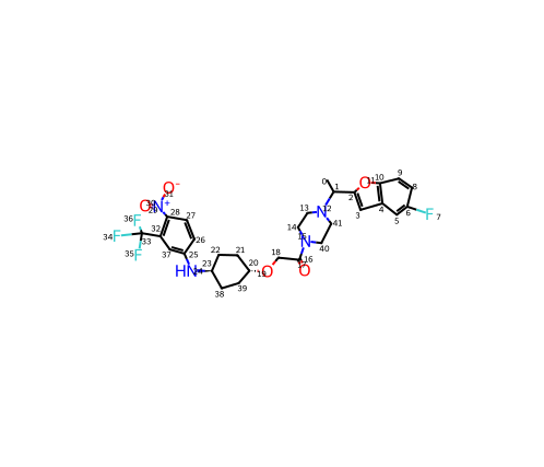 CC(c1cc2cc(F)ccc2o1)N1CCN(C(=O)CO[C@H]2CC[C@H](Nc3ccc([N+](=O)[O-])c(C(F)(F)F)c3)CC2)CC1